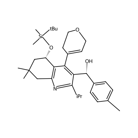 Cc1ccc([C@@H](O)c2c(C(C)C)nc3c(c2C2=CCOCC2)[C@@H](O[Si](C)(C)C(C)(C)C)CC(C)(C)C3)cc1